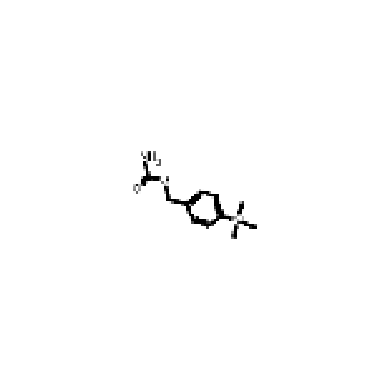 C[N+](C)(C)c1ccc(COC(N)=O)cc1